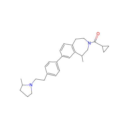 CC1CN(C(=O)C2CC2)CCc2ccc(-c3ccc(CCN4CCCC4C)cc3)cc21